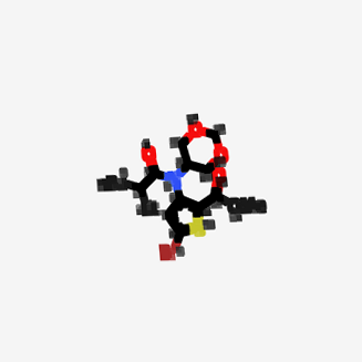 CCCCC(CC)C(=O)N(c1cc(Br)sc1C(=O)OC)C1COCOC1